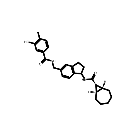 Cc1ccc(C(=O)NCc2ccc3c(c2)CCC3NC(=O)[C@H]2[C@@H]3CCCCC[C@@H]32)cc1O